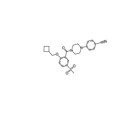 CS(=O)(=O)c1ccc(OCC2CCC2)c(C(=O)N2CCN(c3ccc(C#N)cc3)CC2)c1